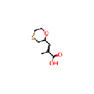 C/C(=C\C1CSCCO1)C(=O)O